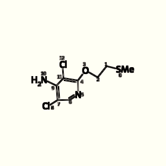 CSCCOc1ncc(Cl)c(N)c1Cl